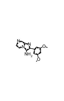 COc1cc(OC)cc(-c2nc3cnccn3c2N)c1